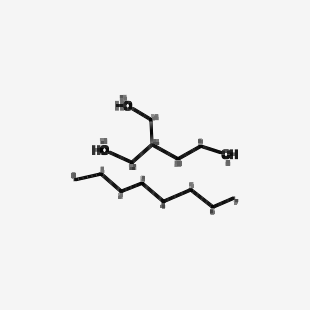 CCCCCCCC.OCCC(CO)CO